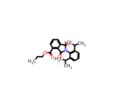 CCCOC(=O)c1cccc2c1C(=O)N(c1c(C(C)C)cccc1C(C)C)C2=O